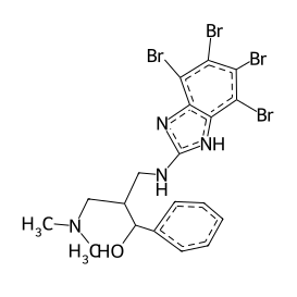 CN(C)CC(CNc1nc2c(Br)c(Br)c(Br)c(Br)c2[nH]1)C(O)c1ccccc1